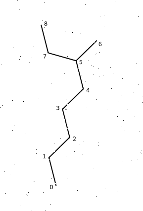 CCC[CH]CC(C)CC